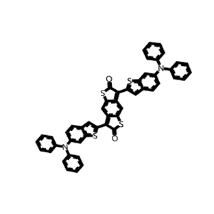 O=C1Sc2cc3c(cc2=C1c1cc2ccc(N(c4ccccc4)c4ccccc4)cc2s1)SC(=O)C=3c1cc2ccc(N(c3ccccc3)c3ccccc3)cc2s1